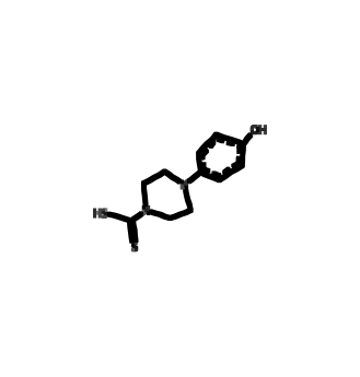 Oc1ccc(N2CCN(C(=S)S)CC2)cc1